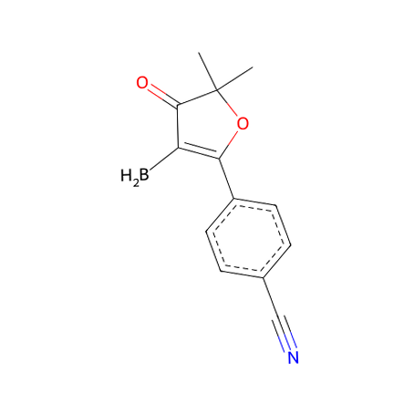 BC1=C(c2ccc(C#N)cc2)OC(C)(C)C1=O